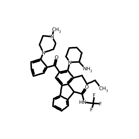 CCCCc1c2c(cc(C(=O)c3ccccc3N3CCN(C)CC3)c1N1CCCCC1N)-c1ccccc1C2C(=O)NC(F)(F)F